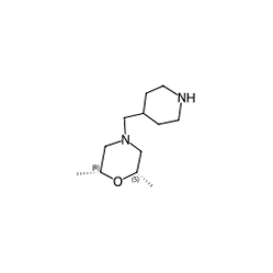 C[C@@H]1CN(CC2CCNCC2)C[C@H](C)O1